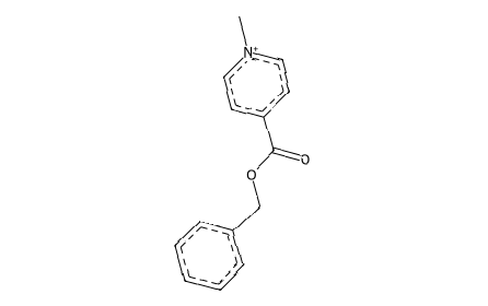 C[n+]1ccc(C(=O)OCc2ccccc2)cc1